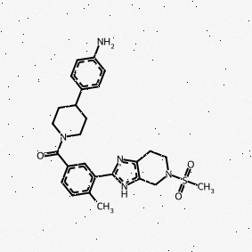 Cc1ccc(C(=O)N2CCC(c3ccc(N)cc3)CC2)cc1-c1nc2c([nH]1)CN(S(C)(=O)=O)CC2